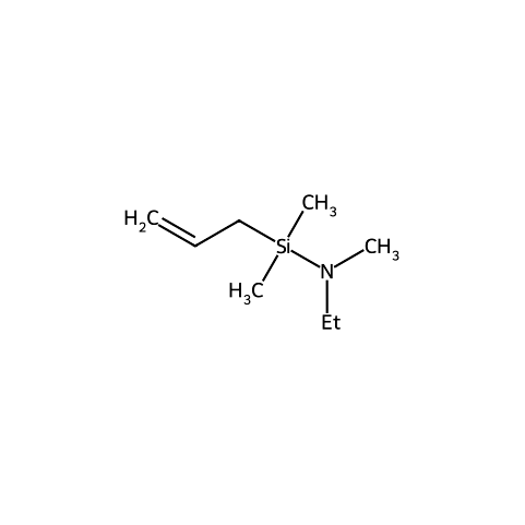 C=CC[Si](C)(C)N(C)CC